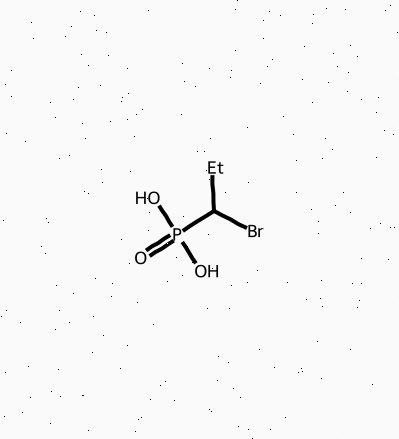 CCC(Br)P(=O)(O)O